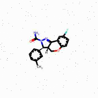 Cc1cccc([C@@H]2[C@H]3COc4ccc(F)cc4C3=NN2C(N)=O)c1